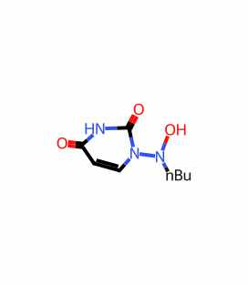 CCCCN(O)n1ccc(=O)[nH]c1=O